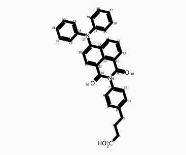 O=C(O)CCCc1ccc(N2C(=O)c3cccc4c(N(c5ccccc5)c5ccccc5)ccc(c34)C2=O)cc1